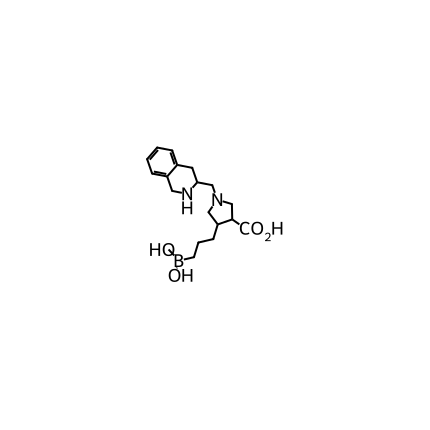 O=C(O)C1CN(CC2Cc3ccccc3CN2)CC1CCCB(O)O